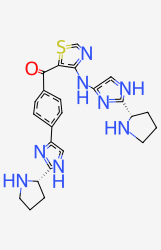 O=C(c1ccc(-c2c[nH]c([C@@H]3CCCN3)n2)cc1)c1scnc1Nc1c[nH]c([C@@H]2CCCN2)n1